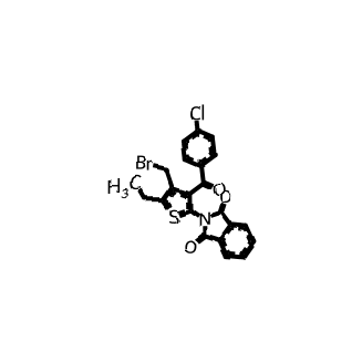 CCc1sc(N2C(=O)c3ccccc3C2=O)c(C(=O)c2ccc(Cl)cc2)c1CBr